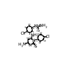 NC(=S)Nc1ccc(Cl)cc1.Nc1cc(N)n(-c2ccc(Cl)cc2)c(=S)n1